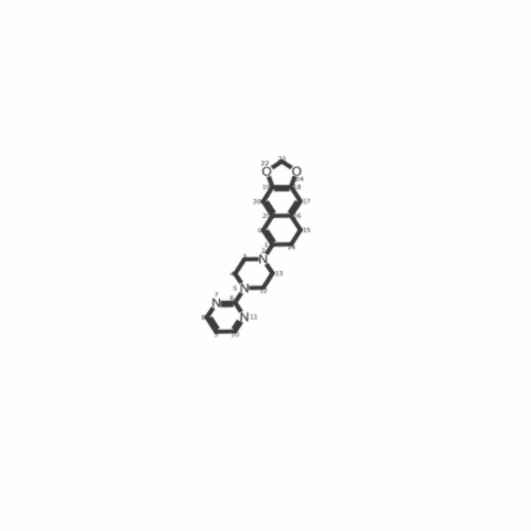 C1=C(N2CCN(c3ncccn3)CC2)CCc2cc3c(cc21)OCO3